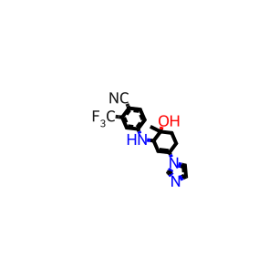 CC1(O)CCC(n2ccnc2)=CC1Nc1ccc(C#N)c(C(F)(F)F)c1